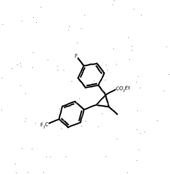 CCOC(=O)C1(c2ccc(F)cc2)C(C)C1c1ccc(C(F)(F)F)cc1